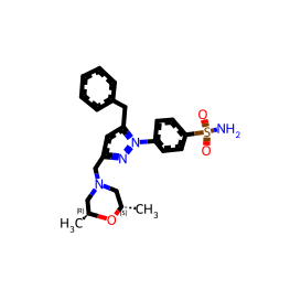 C[C@@H]1CN(Cc2cc(Cc3ccccc3)n(-c3ccc(S(N)(=O)=O)cc3)n2)C[C@H](C)O1